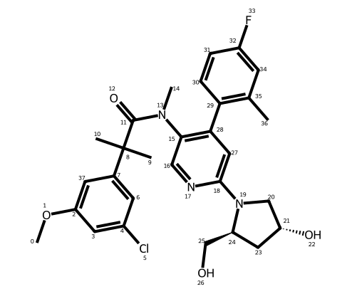 COc1cc(Cl)cc(C(C)(C)C(=O)N(C)c2cnc(N3C[C@H](O)C[C@H]3CO)cc2-c2ccc(F)cc2C)c1